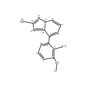 COc1cccc(-c2cccn3nc(Cl)nc23)c1F